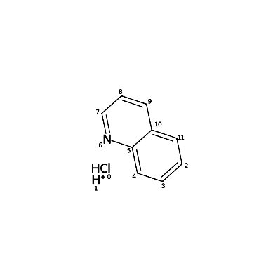 Cl.[H+].c1ccc2ncccc2c1